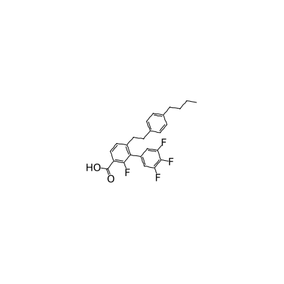 CCCCc1ccc(CCc2ccc(C(=O)O)c(F)c2-c2cc(F)c(F)c(F)c2)cc1